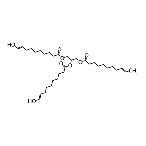 CC=CCCCCCCCC(=O)OCC(COC(=O)CCCCCCCC=CO)OC(=O)CCCCCCCC=CO